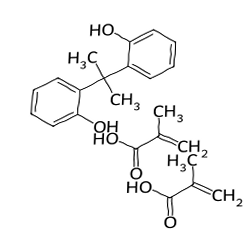 C=C(C)C(=O)O.C=C(C)C(=O)O.CC(C)(c1ccccc1O)c1ccccc1O